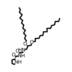 CCCCCCCCCCCCCCOCC(CNCC(=O)NC(=O)[C@@H]1CCCN1)OCCCCCCCCCCCCCC